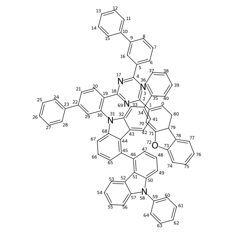 C1=C(c2nc(-c3cccc(-c4ccccc4)c3)nc(-c3ccc(-c4ccccc4)cc3-n3c4cc(-c5ccccc5)ccc4c4c(-c5cccc6c5c5ccccc5n6-c5ccccc5)cccc43)n2)C=C2Oc3ccccc3C2C1